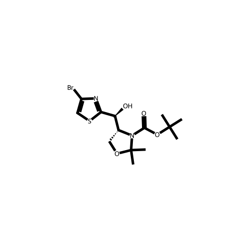 CC(C)(C)OC(=O)N1[C@@H]([C@H](O)c2nc(Br)cs2)COC1(C)C